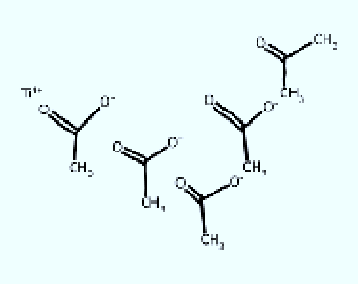 CC(=O)[O-].CC(=O)[O-].CC(=O)[O-].CC(=O)[O-].CC(C)=O.[Ti+4]